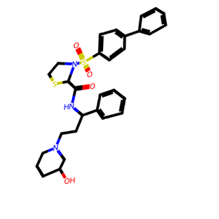 O=C(NC(CCN1CCCC(O)C1)c1ccccc1)C1SCCN1S(=O)(=O)c1ccc(-c2ccccc2)cc1